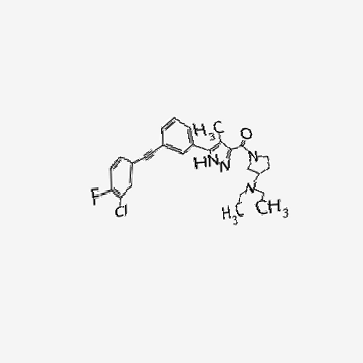 CCN(CC)C1CCN(C(=O)c2n[nH]c(-c3cccc(C#Cc4ccc(F)c(Cl)c4)c3)c2C)C1